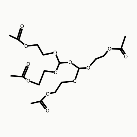 CC(=O)OCCOC(OCCOC(C)=O)OC(OCCOC(C)=O)OCCOC(C)=O